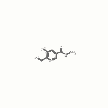 NNC(=O)c1cnc(CS)c(Cl)c1